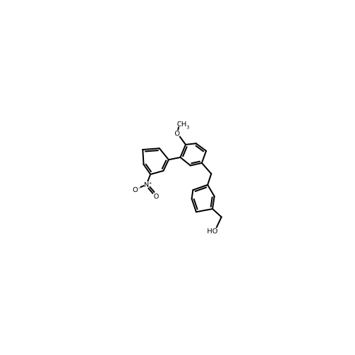 COc1ccc(Cc2cccc(CO)c2)cc1-c1cccc([N+](=O)[O-])c1